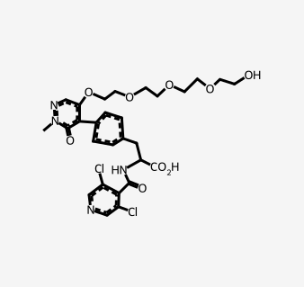 Cn1ncc(OCCOCCOCCOCCO)c(-c2ccc(CC(NC(=O)c3c(Cl)cncc3Cl)C(=O)O)cc2)c1=O